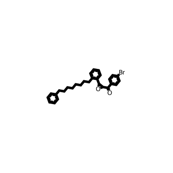 O=C(c1ccc(Br)cc1)C1OC1c1ccccc1CCCCCCCCc1ccccc1